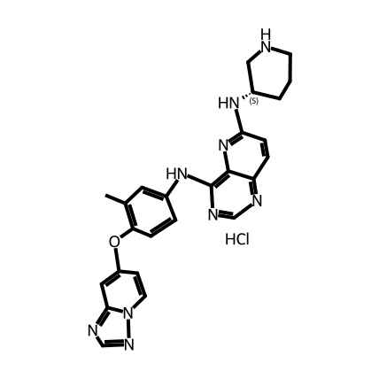 Cc1cc(Nc2ncnc3ccc(N[C@H]4CCCNC4)nc23)ccc1Oc1ccn2ncnc2c1.Cl